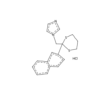 Cl.c1ccc2cc(C3(Cn4ccnc4)SCCCS3)ccc2c1